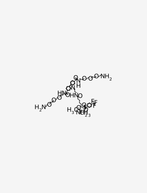 CCC(C)(N)OC(CCCCC(=O)NCCCn1c2cc(C(=O)NCCOCCOCCOCCN)ccc2c2ccc(C(=O)NCCOCCOCCOCCN)cc21)CS(=O)(=O)c1ccc(C(F)(F)F)cc1